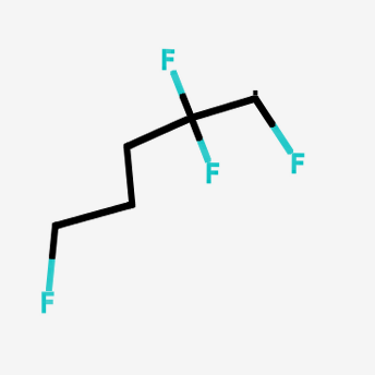 F[CH]C(F)(F)CCCF